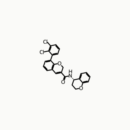 O=C(N[C@H]1CCOc2ccccc21)C1=Cc2cccc(-c3cccc(Cl)c3Cl)c2OC1